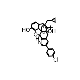 Oc1ccc2c3c1O[C@H]1c4ncc(-c5ccc(Cl)cc5)cc4C[C@@]4(O)[C@@H](C2)N(CC2CC2)CC[C@]314